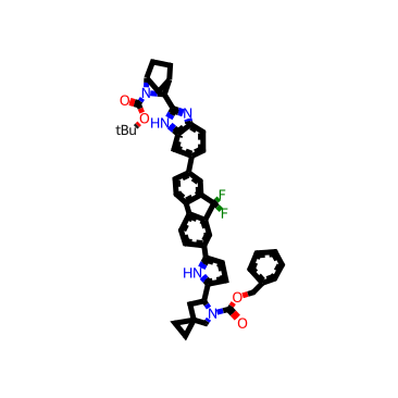 CC(C)(C)OC(=O)N1C2CCC(C2)C1c1nc2ccc(-c3ccc4c(c3)C(F)(F)c3cc(-c5ccc(C6CC7(CC7)CN6C(=O)OCc6ccccc6)[nH]5)ccc3-4)cc2[nH]1